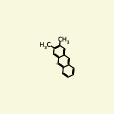 Cc1cc2[c]c3ccccc3cc2cc1C